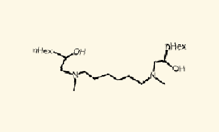 CCCCCCC(O)CN(C)CCCCCCN(C)CC(O)CCCCCC